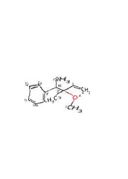 C=CC(C)(OC)C([SiH3])c1ccccc1